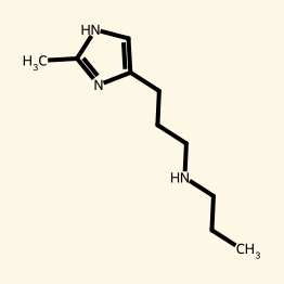 CCCNCCCc1c[nH]c(C)n1